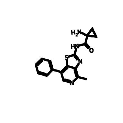 Cc1ncc(-c2ccccc2)c2sc(NC(=O)C3(N)CC3)nc12